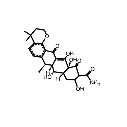 C[C@H]1c2ccc3c(c2C(=O)C2=C(O)[C@]4(O)C(=O)C(C(N)=O)C(O)C[C@@H]4[C@@H](O)[C@@H]21)OCCC3(C)C